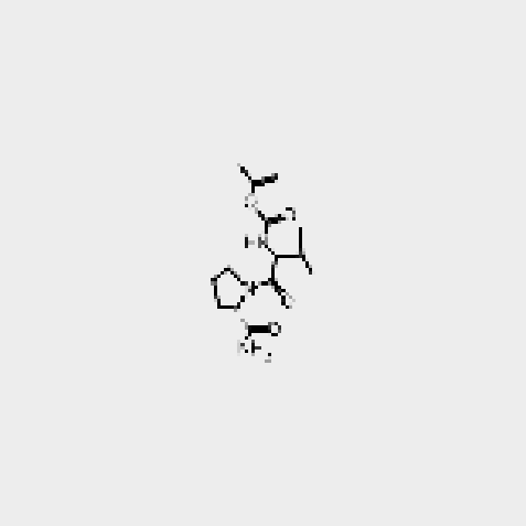 C=C(C)OC(=O)N[C@H](C(=O)N1CCC[C@H]1C(N)=O)C(C)C